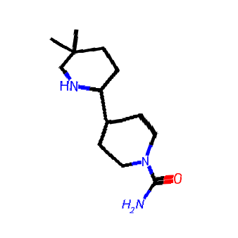 CC1(C)CCC(C2CCN(C(N)=O)CC2)NC1